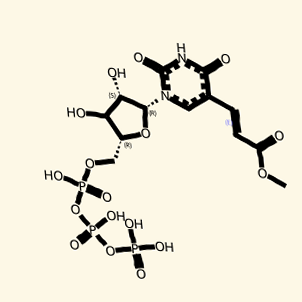 COC(=O)/C=C/c1cn([C@@H]2O[C@H](COP(=O)(O)OP(=O)(O)OP(=O)(O)O)C(O)[C@@H]2O)c(=O)[nH]c1=O